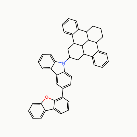 c1ccc2c(c1)C1CCCC3c4ccccc4C4CC(n5c6ccccc6c6cc(-c7cccc8c7oc7ccccc78)ccc65)CC2C4C13